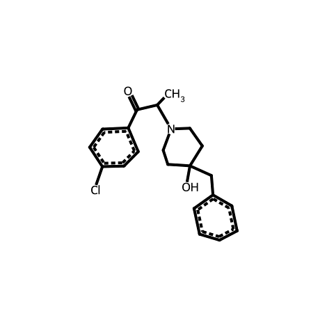 CC(C(=O)c1ccc(Cl)cc1)N1CCC(O)(Cc2ccccc2)CC1